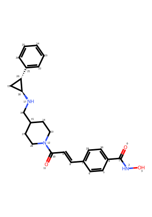 O=C(NO)c1ccc(/C=C/C(=O)N2CCC(CN[C@H]3C[C@@H]3c3ccccc3)CC2)cc1